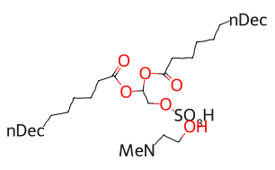 CCCCCCCCCCCCCCCC(=O)OC(COS(=O)(=O)O)OC(=O)CCCCCCCCCCCCCCC.CNCCO